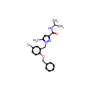 Cc1cc(C(=O)NC(C)C)nn1Cc1cc(Cl)ccc1OCc1ccccc1